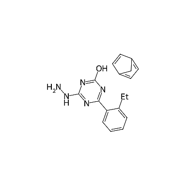 C1=CC2=CC=C1C2.CCc1ccccc1-c1nc(O)nc(NN)n1